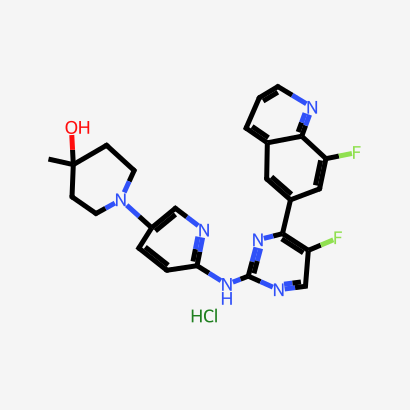 CC1(O)CCN(c2ccc(Nc3ncc(F)c(-c4cc(F)c5ncccc5c4)n3)nc2)CC1.Cl